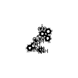 CS(=O)(=O)c1cc(C2(C3CCCCC3)C=CC=CC2)c2nc(NC(=O)NCc3ccccc3C(=O)Nc3nn[nH]n3)sc2c1